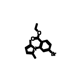 CCOC(=O)c1ccc(Br)cc1-n1c(C)ccc1C